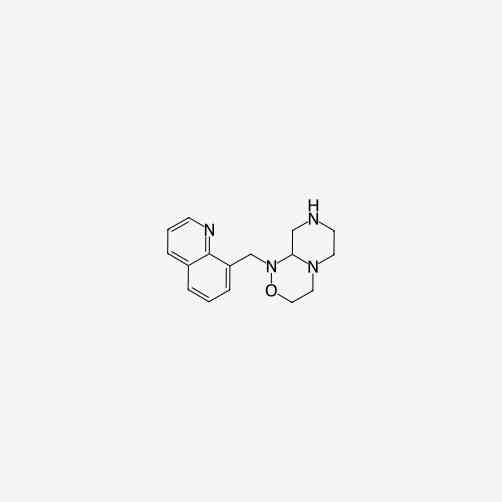 c1cnc2c(CN3OCCN4CCNCC43)cccc2c1